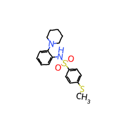 CSc1ccc(S(=O)(=O)Nc2ccccc2N2CCCCC2)cc1